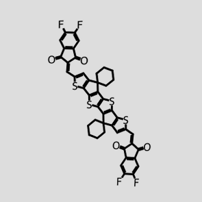 O=C1C(=Cc2cc3c(s2)-c2sc4c5c(sc4c2C32CCCCC2)-c2sc(C=C3C(=O)c4cc(F)c(F)cc4C3=O)cc2C52CCCCC2)C(=O)c2cc(F)c(F)cc21